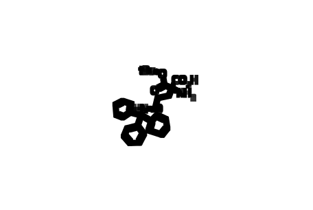 CC(C)(C)OC(=O)[C@](N)(CCC(=O)NC(c1ccccc1)(c1ccccc1)c1ccccc1)C(=O)O